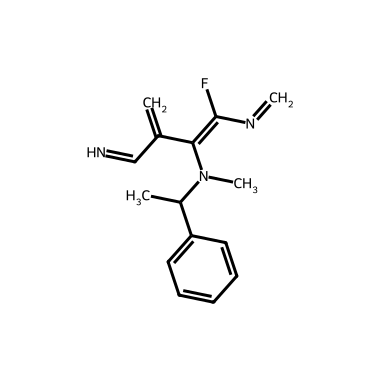 C=N/C(F)=C(/C(=C)C=N)N(C)C(C)c1ccccc1